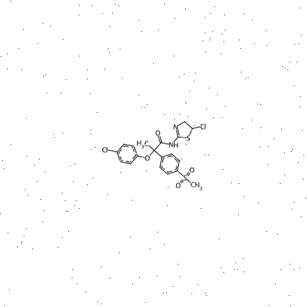 CC(Oc1ccc(Cl)cc1)(C(=O)NC1=NCC(Cl)S1)c1ccc(S(C)(=O)=O)cc1